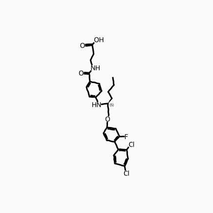 CCCC[C@@H](COc1ccc(-c2ccc(Cl)cc2Cl)c(F)c1)Nc1ccc(C(=O)NCCC(=O)O)cc1